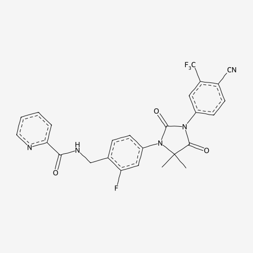 CC1(C)C(=O)N(c2ccc(C#N)c(C(F)(F)F)c2)C(=O)N1c1ccc(CNC(=O)c2ccccn2)c(F)c1